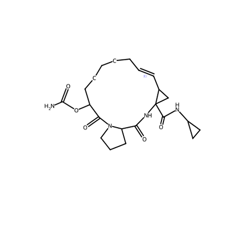 NC(=O)OC1CCCCC/C=C/C2CC2(C(=O)NC2CC2)NC(=O)C2CCCN2C1=O